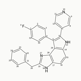 Fc1ccc(-c2c(-c3ccncc3)[nH]c3ccc4[nH]c(Cc5ccccc5)nc4c23)cc1